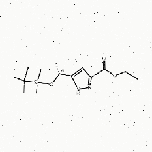 CCOC(=O)c1cc([C@@H](C)O[Si](C)(C)C(C)(C)C)[nH]n1